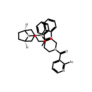 CC(=O)c1ncccc1C(=O)N1CCC(CCN2[C@@H]3CC[C@H]2C[C@@H](n2c(C)nc4ccccc42)C3)(c2ccccc2)CC1